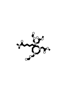 COC(=O)CN1CCN(COC=O)CCC(CCCCC(=O)N(C)C)(N(COC=O)CC(=O)OC)C1